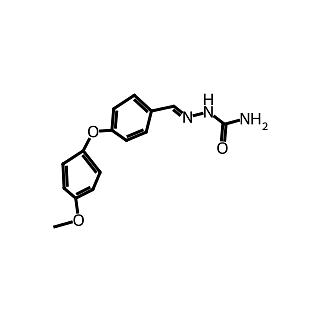 COc1ccc(Oc2ccc(C=NNC(N)=O)cc2)cc1